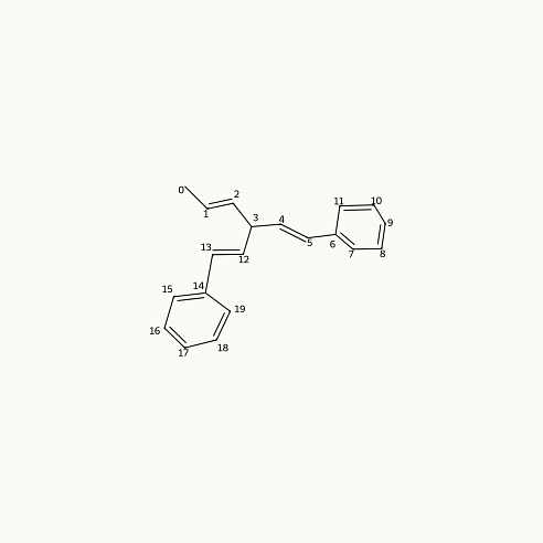 CC=CC(C=Cc1ccccc1)C=Cc1ccccc1